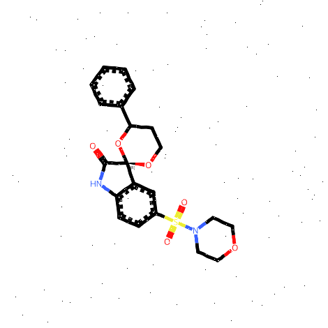 O=C1Nc2ccc(S(=O)(=O)N3CCOCC3)cc2[C@]12OCCC(c1ccccc1)O2